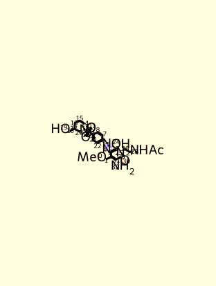 COCc1c(/N=N/c2ccc(S(=O)(=O)N3CCCC(CO)C3)cc2)c(O)n(CCNC(C)=O)c(=O)c1N